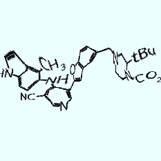 Cc1c(Nc2c(C#N)cncc2-c2cc3cc(CN4CCN(C(=O)O)C(C(C)(C)C)C4)ccc3o2)ccc2[nH]ccc12